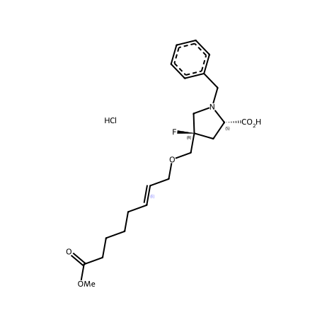 COC(=O)CCCC/C=C/COC[C@@]1(F)C[C@@H](C(=O)O)N(Cc2ccccc2)C1.Cl